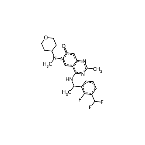 Cc1nc(NC(C)c2cccc(C(F)F)c2F)c2cn(N(C)C3CCOCC3)c(=O)cc2n1